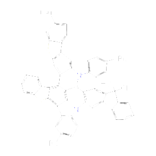 CC(C)(C)c1ccc(N2B3c4cc5c(cc4-n4c6ccc(C(C)(C)C)cc6c6c7sc8ccccc8c7c(c3c64)-c3cc4sc6cc(C(C)(C)C)ccc6c4cc32)-c2ccccc2C5(C)C)cc1